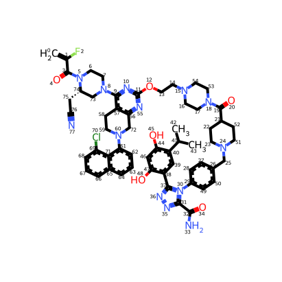 C=C(F)C(=O)N1CCN(c2nc(OCCN3CCN(C(=O)C4CCN(Cc5ccc(-n6c(C(N)=O)nnc6-c6cc(C(C)C)c(O)cc6O)cc5)CC4)CC3)nc3c2CCN(c2cccc4cccc(Cl)c24)C3)C[C@@H]1CC#N